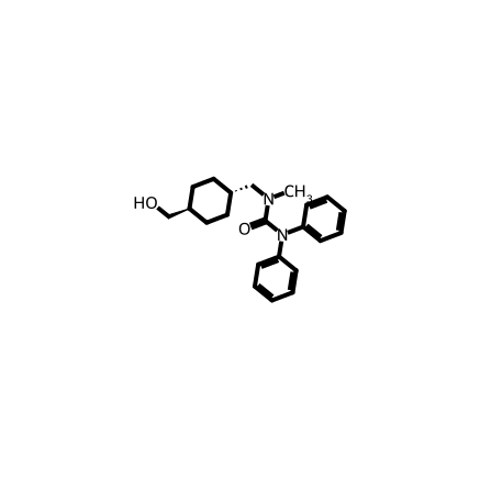 CN(C[C@H]1CC[C@H](CO)CC1)C(=O)N(c1ccccc1)c1ccccc1